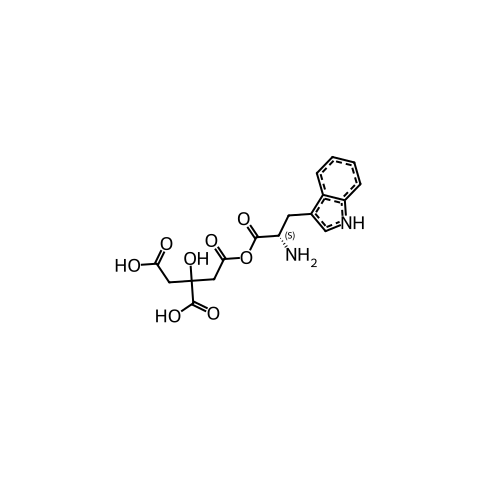 N[C@@H](Cc1c[nH]c2ccccc12)C(=O)OC(=O)CC(O)(CC(=O)O)C(=O)O